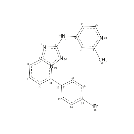 Cc1cc(Nc2nc3cccc(-c4ccc(C(C)C)cc4)n3n2)ccn1